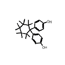 CC1(C)C(C)(C)C(C)(C)C(c2ccc(O)cc2)(c2ccc(O)cc2)C(C)(C)C1(C)C